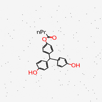 CCCC(=O)Oc1ccc(C(c2ccc(O)cc2)c2ccc(O)cc2)cc1